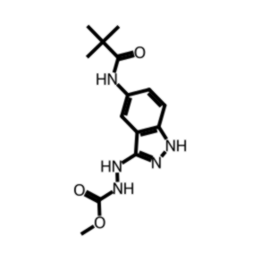 COC(=O)NNc1n[nH]c2ccc(NC(=O)C(C)(C)C)cc12